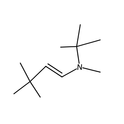 CN(/C=C/C(C)(C)C)C(C)(C)C